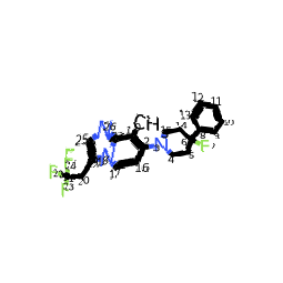 Cc1c(N2CCC(F)(c3ccccc3)CC2)ccn2c(CC(F)(F)F)cnc12